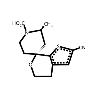 C[C@H]1C[C@@]2(CCN1C(=O)O)OCCc1cc(C#N)sc12